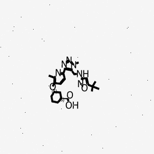 Cc1nc(-c2nnn(C)c2CNc2cc(C(C)(C)C)on2)ccc1O[C@H]1CCC[C@H](C(=O)O)C1